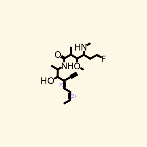 C#C/C(=C\C=C/C)C(O)C(C)NC(=O)C(C)C(OC)C(CCF)NC